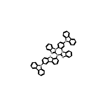 c1ccc2c(c1)nc1n(-c3cccc4c3sc3ccc(-n5c6ccccc6c6ccccc65)cc34)c3nc4ccccc4n3c3cc(-n4c5ccccc5c5ccccc54)ccc3n21